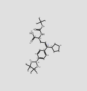 CC(C)(C)OC(=O)N[C@@H](C/C=C(\c1ccc(B2OC(C)(C)C(C)(C)O2)cc1)C1CCCC1)C(=O)O